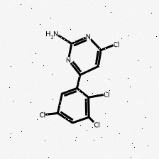 Nc1nc(Cl)cc(-c2cc(Cl)cc(Cl)c2Cl)n1